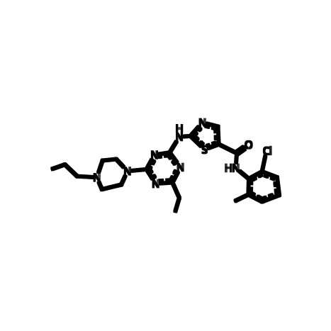 CCCN1CCN(c2nc(CC)nc(Nc3ncc(C(=O)Nc4c(C)cccc4Cl)s3)n2)CC1